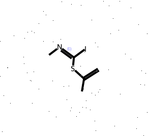 C=C(C)S/C(I)=N\C